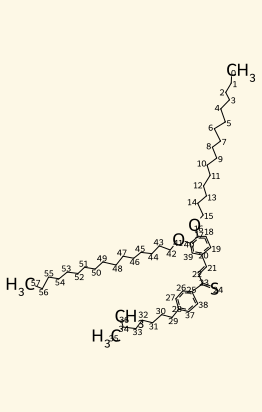 CCCCCCCCCCCCCCCCOc1ccc(C=CC(=S)c2ccc(CCCCCC(C)C)cc2)cc1OCCCCCCCCCCCCCCCC